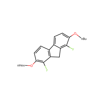 CCCCCCOc1ccc2c(c1F)Cc1c-2ccc(OCCCC)c1F